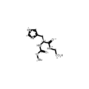 CC(C)(C)OC(=O)N[C@@H](Cc1c[nH]cn1)C(=O)NCC(=O)O